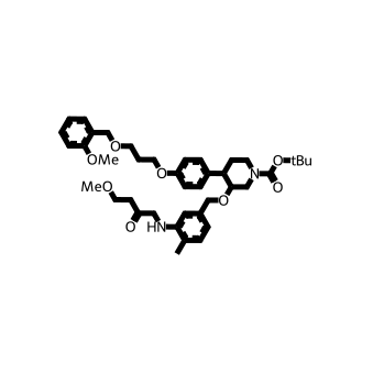 COCCC(=O)CNc1cc(COC2CN(C(=O)OC(C)(C)C)CCC2c2ccc(OCCCOCc3ccccc3OC)cc2)ccc1C